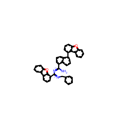 N/C(=N\C(=N/Cc1ccccc1)c1cccc2c1oc1ccccc12)c1cccc2c(-c3cccc4oc5ccccc5c34)cccc12